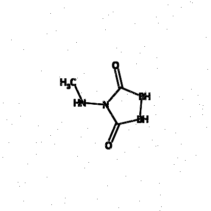 CNN1C(=O)BBC1=O